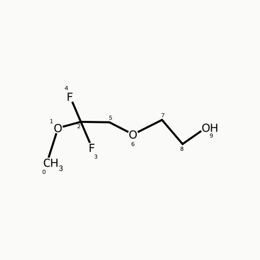 COC(F)(F)COCCO